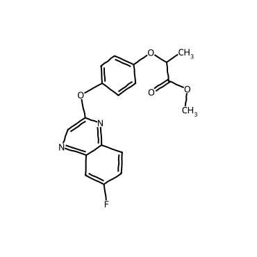 COC(=O)C(C)Oc1ccc(Oc2cnc3cc(F)ccc3n2)cc1